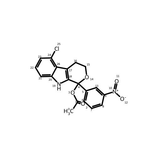 CC(=O)OC1(c2cccc([N+](=O)[O-])c2)OCCc2c1[nH]c1cccc(Cl)c21